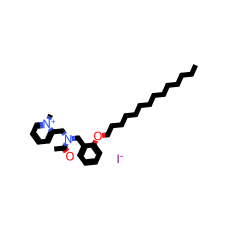 CCCCCCCCCCCCCCOc1ccccc1CN(Cc1cccc[n+]1C)C(C)=O.[I-]